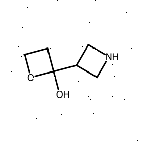 OC1(C2CNC2)[CH]CO1